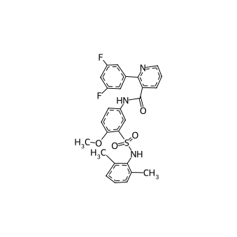 COc1ccc(NC(=O)c2cccnc2-c2cc(F)cc(F)c2)cc1S(=O)(=O)Nc1c(C)cccc1C